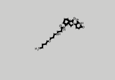 NCCCCOCCCNCCC(=O)Nc1cccc2c1CN(C1CCC(=O)NC1=O)C2=O